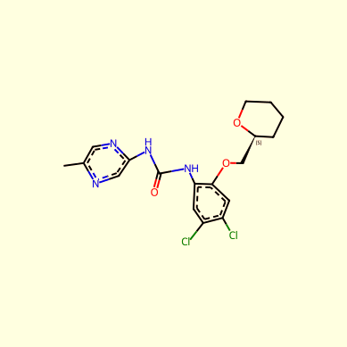 Cc1cnc(NC(=O)Nc2cc(Cl)c(Cl)cc2OC[C@@H]2CCCCO2)cn1